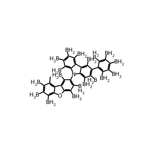 Bc1c(B)c(B)c(-c2c(B)c(B)c3c(c2B)c2c(B)c(B)c(B)c(B)c2n3-c2c(B)c(B)c3oc4c(B)c(B)c(B)c(C)c4c3c2B)c(B)c1B